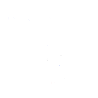 CCO/N=C(\C(=O)NC1C(=O)N2C(C(=O)O)=CC(C)S[C@H]12)c1csc(N)n1.Cl